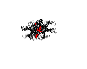 N=C(N)NCCC[C@H](NC(=O)[C@H](CCCNC(=N)N)NC(=O)[C@H](CCCNC(=N)N)NC(=O)[C@H](CCCNC(=N)N)NC(=O)[C@H](CCCNC(=N)N)NC(=O)[C@H](CCCNC(=N)N)NC(=O)[C@H](CCCNC(=N)N)NC(=O)[C@H](CCCNC(=N)N)NC(=O)[C@@H](N)CCCNC(=N)N)C(=O)N[C@@H](Cc1ccccc1)C(=O)N[C@@H](Cc1ccccc1)C(=O)N[C@@H](CS)C(=O)O